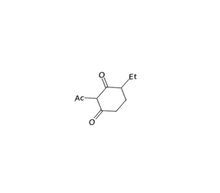 CCC1CCC(=O)C(C(C)=O)C1=O